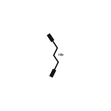 Br.C#CCCCC#C